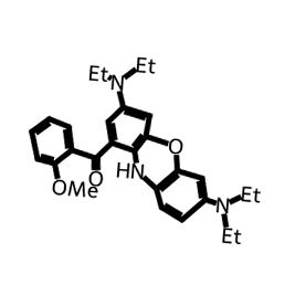 CCN(CC)c1ccc2c(c1)Oc1cc(N(CC)CC)cc(C(=O)c3ccccc3OC)c1N2